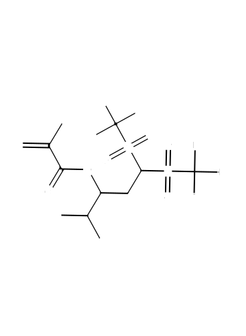 C=C(C)C(=O)OC(CC(S(=O)(=O)C(F)(F)F)S(=O)(=O)C(F)(F)F)C(C)C